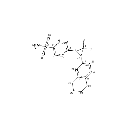 CC1(C)[C@H](c2ccc(S(N)(=O)=O)cc2)[C@H]1c1ncc2c(n1)CCCC2